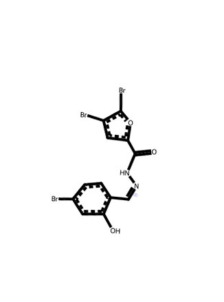 O=C(N/N=C\c1ccc(Br)cc1O)c1cc(Br)c(Br)o1